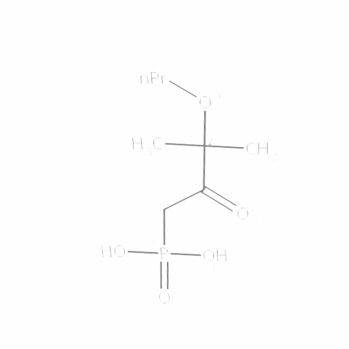 CCCOC(C)(C)C(=O)CP(=O)(O)O